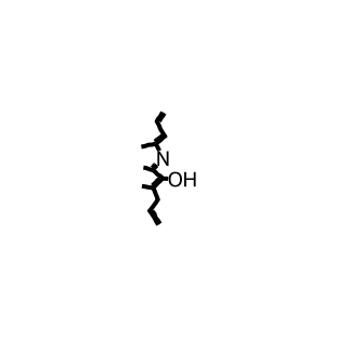 C=C/C=C(C)/N=C(C)/C(O)=C(\C)CC=C